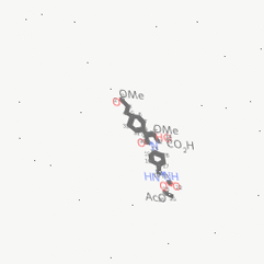 COC(=O)CCc1ccc(C2=C(OC)CN(c3ccc(C(=N)NC(=O)OC(C)OC(C)=O)cc3)C2=O)cc1.O=C(O)O